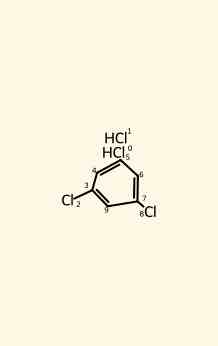 Cl.Cl.Clc1cccc(Cl)c1